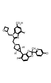 C[C@@]1(c2ccc(Cl)cn2)Oc2ccc(F)c(C3[C@H]4CN(Cc5nc6c(F)cc(C(=O)O)cc6n5C[C@@H]5CCO5)C[C@@H]34)c2O1